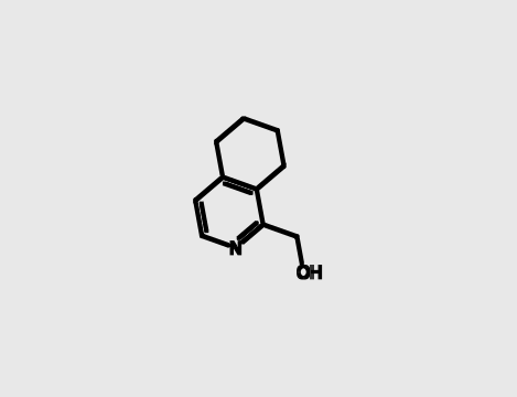 OCc1nccc2c1CCCC2